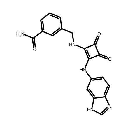 NC(=O)c1cccc(CNc2c(Nc3ccc4nc[nH]c4c3)c(=O)c2=O)c1